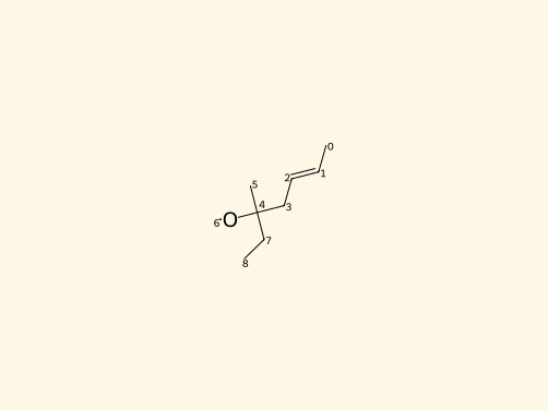 CC=CCC(C)([O])CC